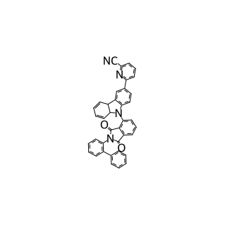 N#Cc1cccc(-c2ccc3c(c2)C2C=CC=CC2N3c2cccc3c2C(=O)N(c2ccccc2-c2ccccc2)C3=O)n1